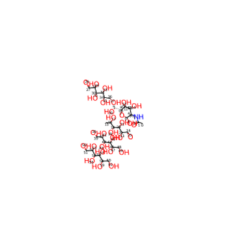 CC(=O)N[C@H]1C(O)O[C@H](CO)[C@@H](O)[C@@H]1O.CC(O)C(O)C(O)C(O)C=O.O=CC(O)C(O)C(O)C(O)CO.O=CC(O)C(O)C(O)C(O)CO.O=CC(O)C(O)C(O)C(O)CO